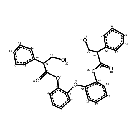 O=C(Oc1ccccc1Oc1ccccc1OC(=O)C(CO)c1ccccc1)C(CO)c1ccccc1